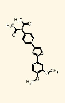 COc1ccc(-c2nc(-c3ccc(N(C(C)=O)C(C)=O)cc3)cs2)cc1OC